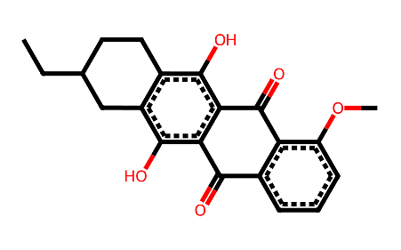 CCC1CCc2c(O)c3c(c(O)c2C1)C(=O)c1cccc(OC)c1C3=O